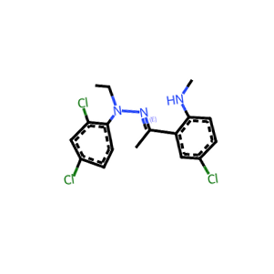 CCN(/N=C(\C)c1cc(Cl)ccc1NC)c1ccc(Cl)cc1Cl